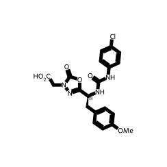 COc1ccc(C[C@H](NC(=O)Nc2ccc(Cl)cc2)c2nn(CC(=O)O)c(=O)o2)cc1